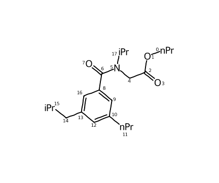 CCCOC(=O)CN(C(=O)c1cc(CCC)cc(CC(C)C)c1)C(C)C